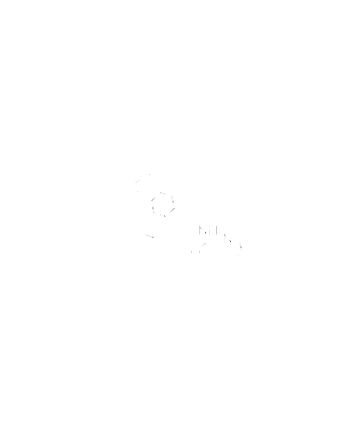 CCOC(=O)Oc1ccc(CCNC(=O)C(CCSC)NC(C)=O)cc1OC(=O)OCC